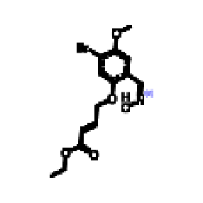 CCOC(=O)C=CCOc1cc(Br)c(OC)cc1/C=N\O